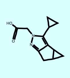 O=C(O)Cn1nc2c(c1C1CC1)C1CC1C2